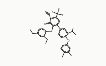 CCc1ccc(Cn2c(-c3ccc(Oc4ccc(C)c(C)c4)c(C(C)C)c3)cc(C(F)(F)F)c(C#N)c2=O)c(CC)c1